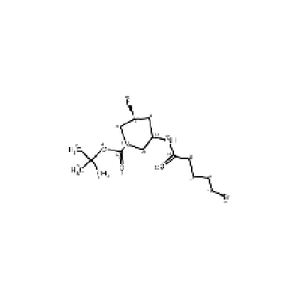 CC(C)(C)OC(=O)N1C[C@@H](F)C[C@@H](NC(=O)CCCCBr)C1